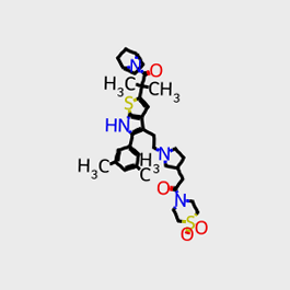 Cc1cc(C)cc(-c2[nH]c3sc(C(C)(C)C(=O)N4C5CCC4CC5)cc3c2CCN2CCC(CC(=O)N3CCS(=O)(=O)CC3)C2)c1